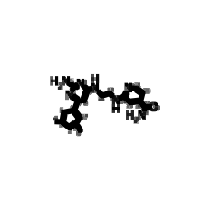 Cc1cc(C)cc(-c2cc(NCCNc3cc(C(N)=O)ccn3)nc(N)n2)c1